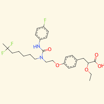 CCOC(Cc1ccc(OCCN(CCCCCC(C)(F)F)C(=O)Nc2ccc(F)cc2)cc1)C(=O)O